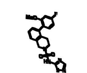 COc1cc(F)ccc1-c1cccc2c1CCN(S(=O)(=O)Nc1ncns1)C2